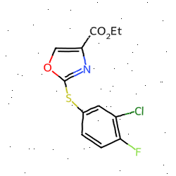 CCOC(=O)c1coc(Sc2ccc(F)c(Cl)c2)n1